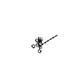 CC#CC#CC#CC#CC#CC#C[C@@H](OCc1ccccc1)[C@@H](OCc1ccccc1)[C@H](CO)N=[N+]=[N-]